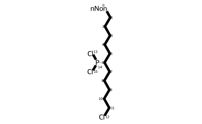 CCCCCCCCCCCCCCCCCCCCCl.Cl[P]Cl